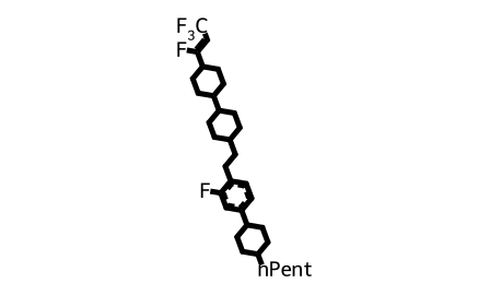 CCCCCC1CCC(c2ccc(CCC3CCC(C4CCC(/C(F)=C/C(F)(F)F)CC4)CC3)c(F)c2)CC1